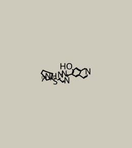 C[C@]12CCC(C[C@@H](Sc3cnc(-c4cc5ccncc5cc4O)nn3)C1)N2